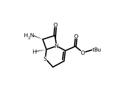 CC(C)(C)OC(=O)C1=CCS[C@H]2[C@H](N)C(=O)N12